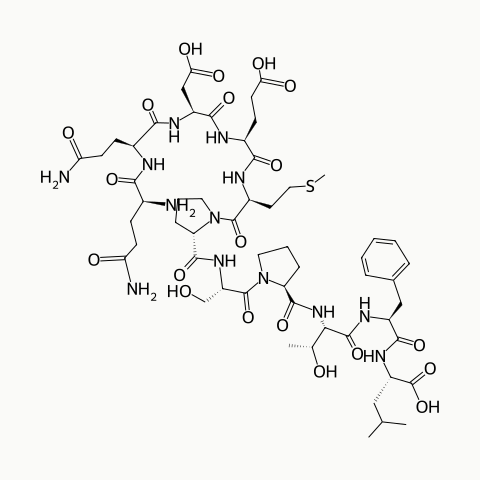 CSCC[C@H](NC(=O)[C@H](CCC(=O)O)NC(=O)[C@H](CC(=O)O)NC(=O)[C@H](CCC(N)=O)NC(=O)[C@@H](N)CCC(N)=O)C(=O)N1CCC[C@H]1C(=O)N[C@@H](CO)C(=O)N1CCC[C@H]1C(=O)N[C@H](C(=O)N[C@@H](Cc1ccccc1)C(=O)N[C@@H](CC(C)C)C(=O)O)[C@@H](C)O